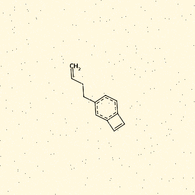 C=CCCc1ccc2c(c1)C=C2